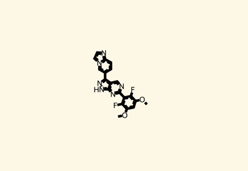 COc1cc(OC)c(F)c(-c2ncc3c(-c4ccc5nccn5c4)n[nH]c3n2)c1F